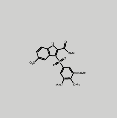 COC(=O)c1[nH]c2ccc([N+](=O)[O-])cc2c1S(=O)(=O)c1cc(OC)c(OC)c(OC)c1